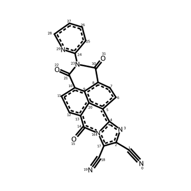 N#Cc1nc2c3ccc4c5c(ccc(c(=O)n2c1C#N)c53)C(=O)N(c1ccccn1)C4=O